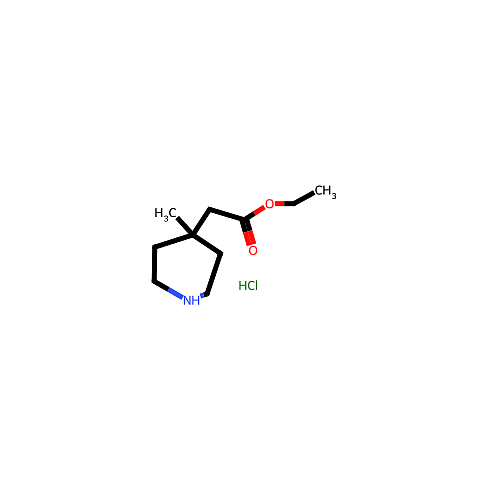 CCOC(=O)CC1(C)CCNCC1.Cl